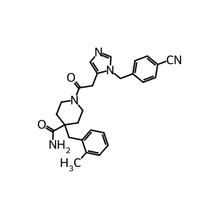 Cc1ccccc1CC1(C(N)=O)CCN(C(=O)Cc2cncn2Cc2ccc(C#N)cc2)CC1